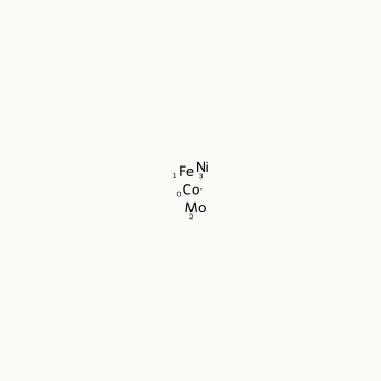 [Co].[Fe].[Mo].[Ni]